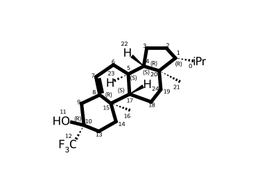 CC(C)[C@H]1CC[C@H]2[C@@H]3CC=C4C[C@@](O)(C(F)(F)F)CC[C@]4(C)[C@H]3CC[C@]12C